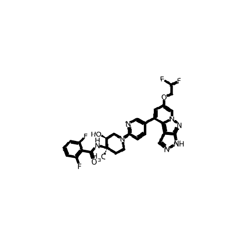 C[C@@]1(NC(=O)c2c(F)cccc2F)CCN(c2ccc(-c3cc(OCC(F)F)cn4nc5[nH]ncc5c34)cn2)C[C@@H]1O